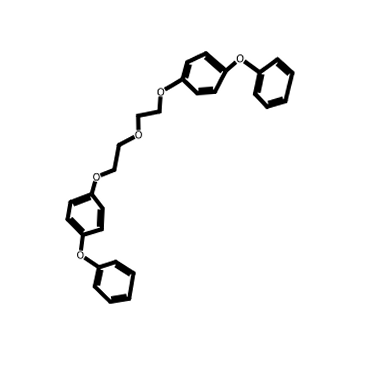 c1ccc(Oc2ccc(OCCOCCOc3ccc(Oc4ccccc4)cc3)cc2)cc1